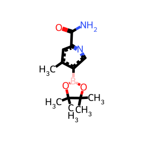 Cc1cc(C(N)=O)ncc1B1OC(C)(C)C(C)(C)O1